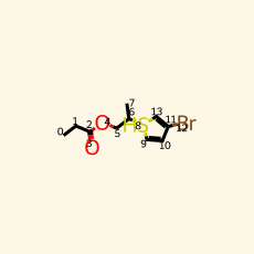 CCC(=O)OCC(C)[SH]1C=CC(Br)=C1